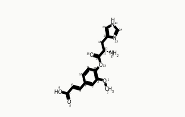 COc1cc(C=CC(=O)O)ccc1OC(=O)[C@@H](N)Cc1c[nH]cn1